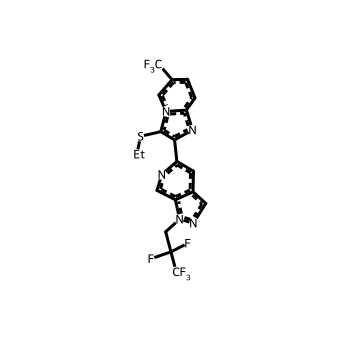 CCSc1c(-c2cc3cnn(CC(F)(F)C(F)(F)F)c3cn2)nc2ccc(C(F)(F)F)cn12